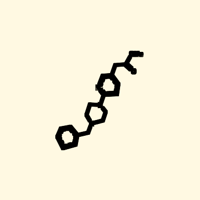 COC(=O)Cc1ccc(N2CCN(Cc3ccccc3)CC2)nc1